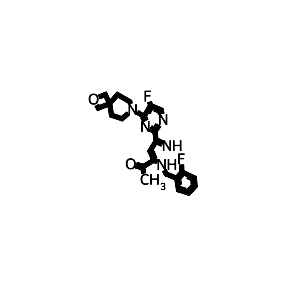 CC(=O)/C(=C/C(=N)c1ncc(F)c(N2CCC3(CC2)COC3)n1)NCc1ccccc1F